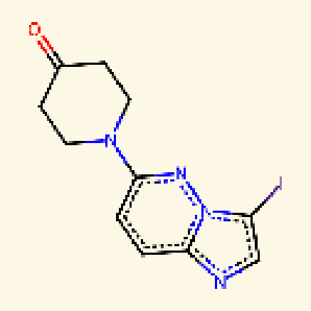 O=C1CCN(c2ccc3ncc(I)n3n2)CC1